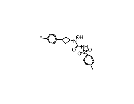 Cc1ccc(S(=O)(=O)NC(=O)N(O)C2CC(c3ccc(F)cc3)C2)cc1